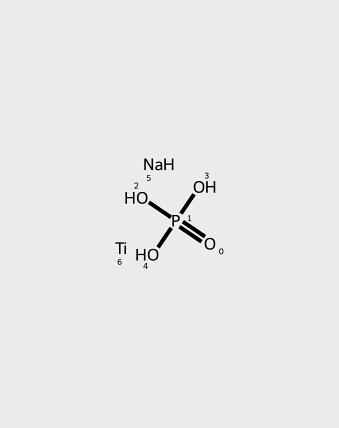 O=P(O)(O)O.[NaH].[Ti]